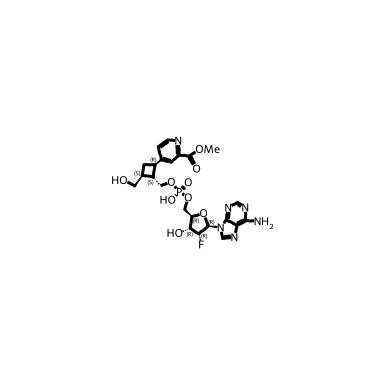 COC(=O)c1cc([C@@H]2C[C@H](CO)[C@H]2COP(=O)(O)OC[C@H]2O[C@@H](n3cnc4c(N)ncnc43)[C@H](F)[C@@H]2O)ccn1